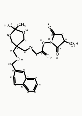 CC1(C)OCC(COCC(=O)ON2C(=O)CC(S(=O)(=O)O)C2=O)(COCc2ccc3ccccc3c2)CO1